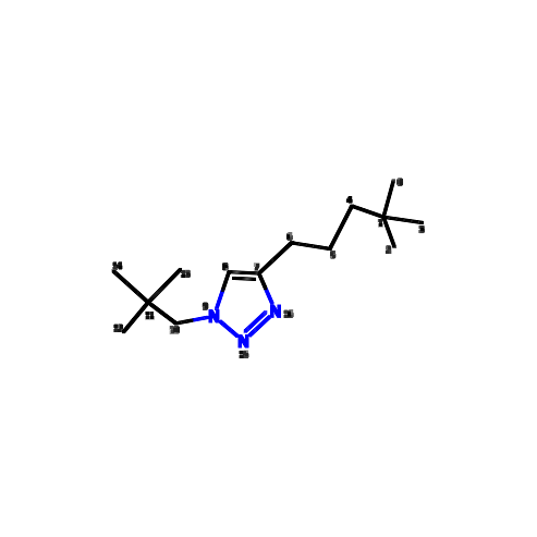 CC(C)(C)CCCc1cn(CC(C)(C)C)nn1